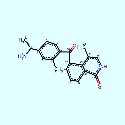 Cc1cc([C@H](C)N)ccc1C(=O)c1cccc2c(=O)[nH]cc(C)c12